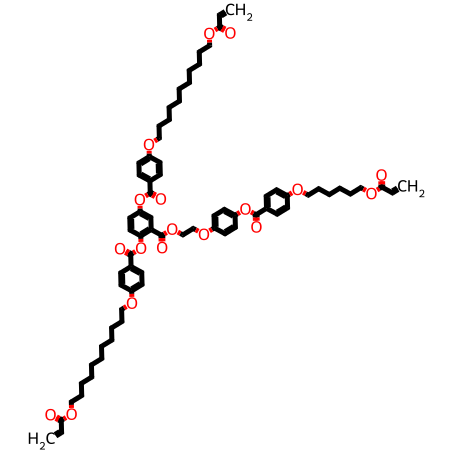 C=CC(=O)OCCCCCCCCCCCOc1ccc(C(=O)Oc2ccc(OC(=O)c3ccc(OCCCCCCCCCCCOC(=O)C=C)cc3)c(C(=O)OCCOc3ccc(OC(=O)c4ccc(OCCCCCCOC(=O)C=C)cc4)cc3)c2)cc1